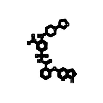 O=C(NS(=O)(=O)c1ccc(NC2CCN(C3CCOC3)CC2)c([N+](=O)[O-])c1)c1ccccc1Oc1cnc2[nH]ccc2c1